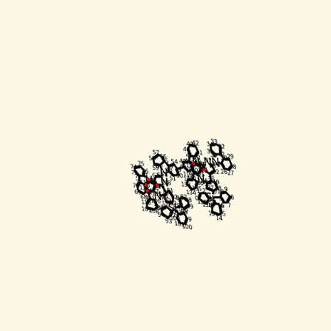 c1ccc([Si](c2ccccc2)(c2ccccc2)c2ccc(-c3cc(-n4c5ccccc5c5ccccc54)nc(-n4c5ccccc5c5cc(-c6ccc7c(c6)c6ccccc6n7-c6cc(-n7c8ccccc8c8ccccc87)cc(-c7ccc([Si](c8ccccc8)(c8ccccc8)c8ccccc8)cc7-n7c8ccccc8c8ccccc87)n6)ccc54)c3)c(-n3c4ccccc4c4ccccc43)c2)cc1